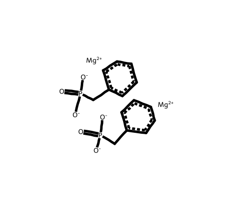 O=P([O-])([O-])Cc1ccccc1.O=P([O-])([O-])Cc1ccccc1.[Mg+2].[Mg+2]